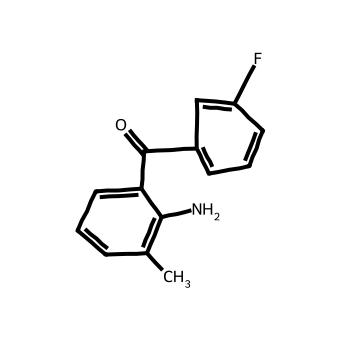 Cc1cccc(C(=O)c2cccc(F)c2)c1N